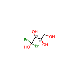 OC[C@@H](O)[C@@H](O)C(O)(Br)Br